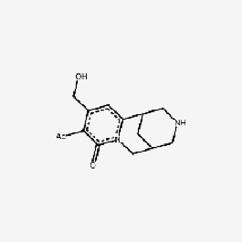 CC(=O)c1c(CO)cc2n(c1=O)CC1CNCC2C1